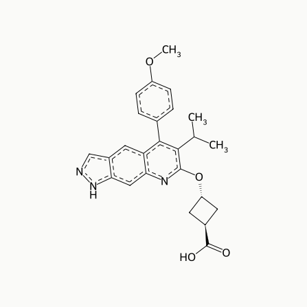 COc1ccc(-c2c(C(C)C)c(O[C@H]3C[C@H](C(=O)O)C3)nc3cc4[nH]ncc4cc23)cc1